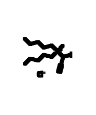 C#CC(I)[N+](C)(CCCCC)CCCCC.[Cl-]